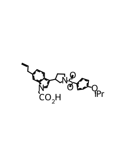 C=CCc1ccc2c(C3CCN(S(=O)(=O)c4ccc(OC(C)C)cc4)C3)cn(CC(=O)O)c2c1